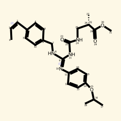 C/C=C\c1ccc(CN/C(=N/c2ccc(OC(C)C)cc2)NC(=O)NC[C@H](C)C(=O)OC)cc1